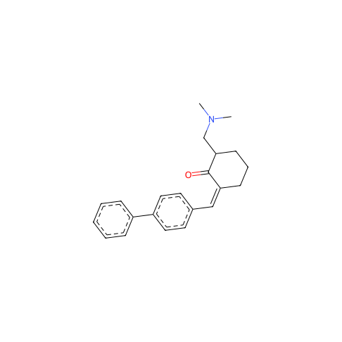 CN(C)CC1CCCC(=Cc2ccc(-c3ccccc3)cc2)C1=O